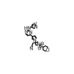 Cn1cc(Nc2nccc(-c3ccn(C4(CC#N)CN(S(=O)(=O)C5CCOCC5)C4)c3)n2)cn1